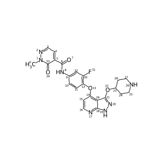 Cn1nccc(C(=O)Nc2ccc(Oc3ccnc4[nH]nc(OC5CCNCC5)c34)c(F)c2)c1=O